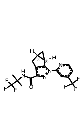 CC(C)(NC(=O)c1nn(-c2cc(C(F)(F)F)ccn2)c2c1C[C@H]1C[C@@H]21)C(F)(F)F